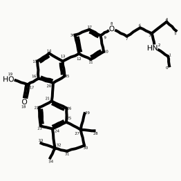 CCNC(CC)CCOc1ccc(-c2ccc(C(=O)O)c(-c3ccc4c(c3)C(C)(C)CCC4(C)C)c2)cc1